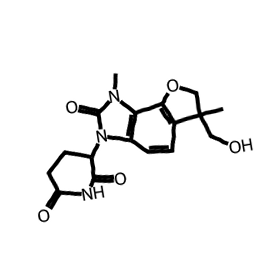 Cn1c(=O)n(C2CCC(=O)NC2=O)c2ccc3c(c21)OCC3(C)CO